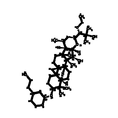 CCO[C@@H]([C@H]1C[C@@H](C)[C@H]2[C@H](O1)[C@H](O)[C@@]1(C)[C@@H]3CC[C@H]4C(C)(C)[C@@H](O[C@H]5CN(CCO)CCO5)CCC45C[C@@]35CC[C@]21C)C(C)(C)O